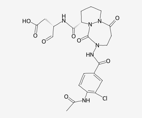 CC(=O)Nc1ccc(C(=O)NN2CCC(=O)N3CCC[C@@H](C(=O)N[C@H](C=O)CC(=O)O)N3C2=O)cc1Cl